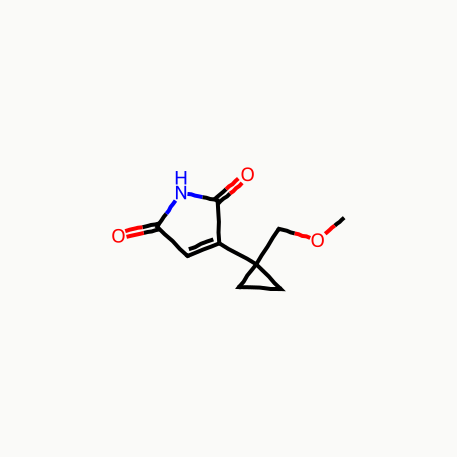 COCC1(C2=CC(=O)NC2=O)CC1